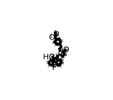 COC(=O)c1ccc(CCN2C(=O)CC[C@@H]2/C=C/C(O)C2(c3ccccc3F)CCCC2)cc1